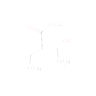 O=C(O)CCC(=O)C(=O)O.O=C(O)CO